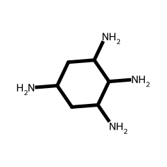 NC1CC(N)C(N)C(N)C1